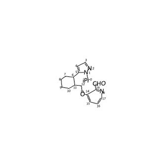 CC(C)n1nccc1C1CCCCC1COc1cccnc1C=O